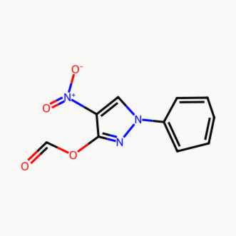 O=COc1nn(-c2ccccc2)cc1[N+](=O)[O-]